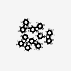 c1ccc([Si](c2ccccc2)(c2ccccc2)c2ccc3c(c2)c2ccccc2n3-c2cc(-n3c4ccccc4c4ccccc43)nc(-n3c4ccccc4c4cc(-n5c6ccccc6c6ccccc65)ccc43)c2)cc1